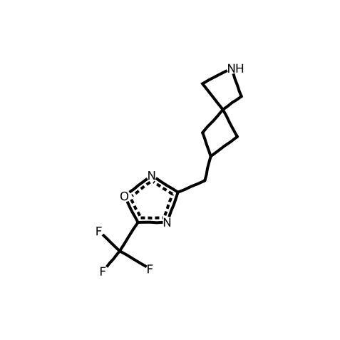 FC(F)(F)c1nc(CC2CC3(CNC3)C2)no1